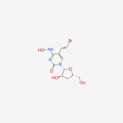 O=c1nc(NO)c(/C=C/Br)cn1[C@@H]1O[C@H](CO)C[C@H]1O